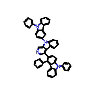 c1ccc(-c2c(-c3cncc4c3c3ccccc3n4-c3ccc4c(c3)c3ccccc3n4-c3ccccc3)ccc3c2c2ccccc2n3-c2ccccc2)cc1